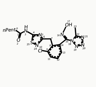 CCCCCC(=O)Nc1nc(Cc2c(Cl)cccc2C(=NO)n2nnnc2C)ns1